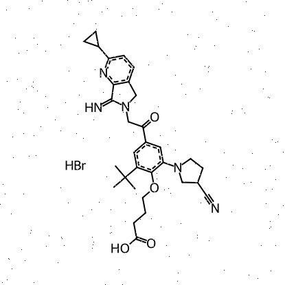 Br.CC(C)(C)c1cc(C(=O)CN2Cc3ccc(C4CC4)nc3C2=N)cc(N2CCC(C#N)C2)c1OCCCC(=O)O